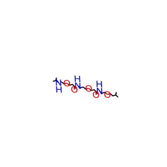 CC(C)CCOCCNC(=O)CCOCCCNC(=O)CCOCCNC(C)C